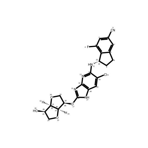 N#Cc1cc(F)c2c(c1)CC[C@@H]2Nc1nc2nc(O[C@@H]3CO[C@H]4[C@@H]3OC[C@H]4O)[nH]c2cc1Cl